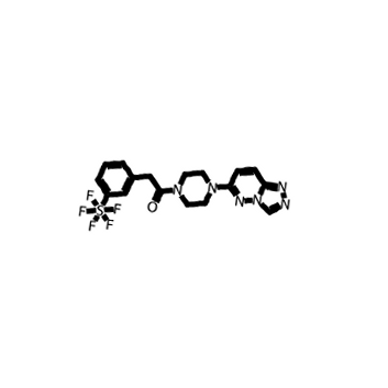 O=C(Cc1cccc(S(F)(F)(F)(F)F)c1)N1CCN(c2ccc3nncn3n2)CC1